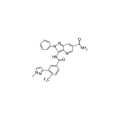 Cn1ccc(-c2cc(C(=O)Nc3c4ncc(C(N)=O)cc4nn3-c3ccccc3)ccc2C(F)(F)F)n1